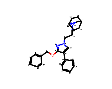 c1ccc(COc2nn(CCN3CC4CCC3CC4)cc2-c2ccccc2)cc1